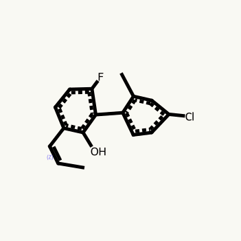 C/C=C\c1ccc(F)c(-c2ccc(Cl)cc2C)c1O